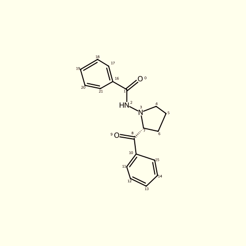 O=C(NN1CCC[C@@H]1C(=O)c1ccccc1)c1ccccc1